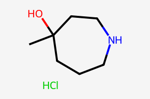 CC1(O)CCCNCC1.Cl